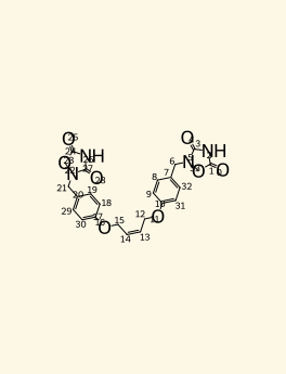 O=c1[nH]c(=O)n(Cc2ccc(OC/C=C\COc3ccc(Cn4oc(=O)[nH]c4=O)cc3)cc2)o1